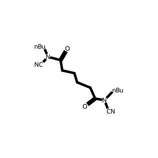 CCCCN(C#N)C(=O)CCCCC(=O)N(C#N)CCCC